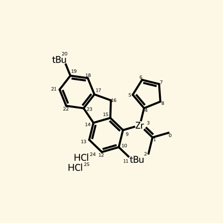 C[C](C)=[Zr]([C]1=CC=CC1)[c]1c(C(C)(C)C)ccc2c1Cc1cc(C(C)(C)C)ccc1-2.Cl.Cl